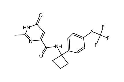 Cc1nc(C(=O)NC2(c3ccc(SC(F)(F)F)cc3)CCC2)cc(=O)[nH]1